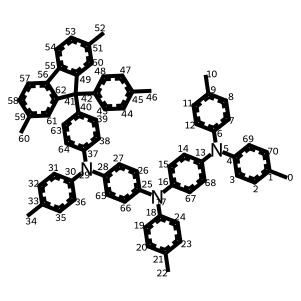 Cc1ccc(N(c2ccc(C)cc2)c2ccc(N(c3ccc(C)cc3)c3ccc(N(c4ccc(C)cc4)c4ccc(C5(c6ccc(C)cc6)c6cc(C)ccc6-c6ccc(C)cc65)cc4)cc3)cc2)cc1